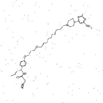 CCCC(NC(=O)CC#N)c1ccc(OCCCOCCCCCCOCCCN2CCN(c3cc(N)nc(C)n3)CC2)cc1